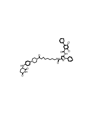 O=C1CCC(Nc2ccc(N3CCN(C(=O)CCCCCCCNC(=O)c4cc(NC(=O)c5cc(-c6ccccn6)c(Cl)cc5Cl)n(-c5ccccc5)n4)CC3)cc2)C(=O)N1